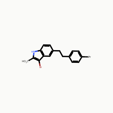 CC(C)c1ccc(CCc2ccc3[nH]c(C(=O)O)c(Br)c3c2)cc1